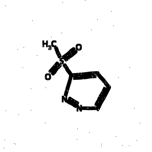 CS(=O)(=O)c1cc[c]nn1